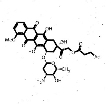 COc1cccc2c1C(=O)c1c(O)c3c(c(O)c1C2=O)C[C@@](O)(C(=O)COC(=O)CCC(C)=O)C[C@@H]3O[C@H]1C[C@H](N)[C@H](O)[C@H](C)O1